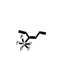 C=C/C=C(\C=C)S(F)(F)(F)(F)F